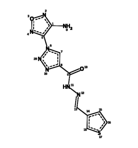 Nc1nonc1-n1cc(C(=O)NN=Cc2ccsc2)nn1